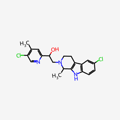 Cc1cc(C(O)CN2CCc3c([nH]c4ccc(Cl)cc34)C2C)ncc1Cl